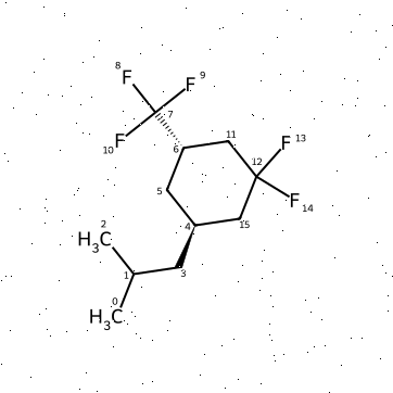 CC(C)C[C@H]1C[C@H](C(F)(F)F)CC(F)(F)C1